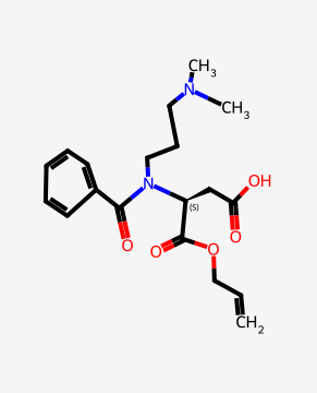 C=CCOC(=O)[C@H](CC(=O)O)N(CCCN(C)C)C(=O)c1ccccc1